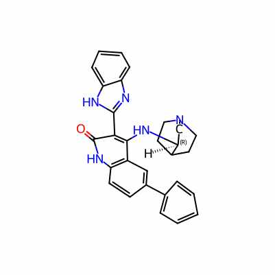 O=c1[nH]c2ccc(-c3ccccc3)cc2c(N[C@H]2CN3CCC2CC3)c1-c1nc2ccccc2[nH]1